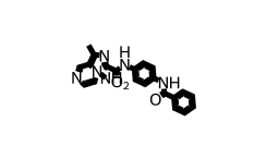 CC1=C2C=NC=C[N+]2(N)C(C(=O)Nc2ccc(NC(=O)c3ccccc3)cc2)=N1